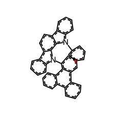 c1ccc(-n2c3ccccc3c3ccc4c5ccccc5n(-c5cccc6c7ccccc7c7ccccc7c56)c4c32)cc1